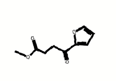 COC(=O)CCC(=O)c1ccco1